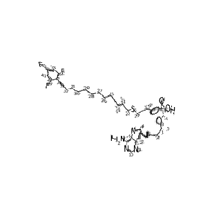 C[C@H](Cn1cnc2c(N)ncnc21)OCP(=O)(O)OCCSCCCCCCCCCCCC#Cc1c(F)cc(F)cc1F